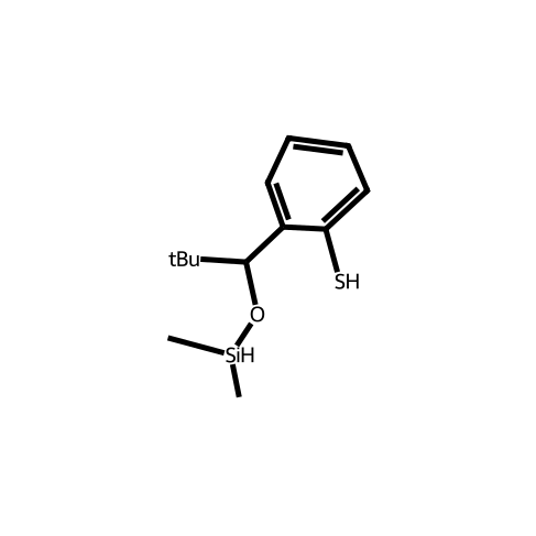 C[SiH](C)OC(c1ccccc1S)C(C)(C)C